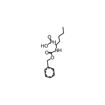 CCCCC(NC(=O)OCc1ccccc1)[PH](=O)O